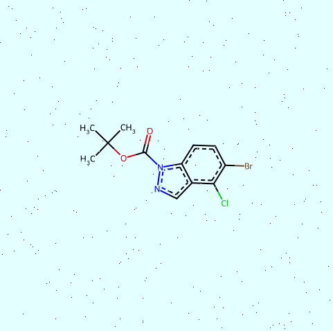 CC(C)(C)OC(=O)n1ncc2c(Cl)c(Br)ccc21